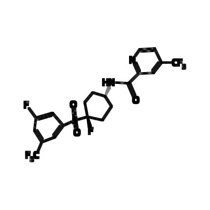 O=C(N[C@H]1CC[C@@](F)(S(=O)(=O)c2cc(F)cc(C(F)(F)F)c2)CC1)c1cc(C(F)(F)F)ccn1